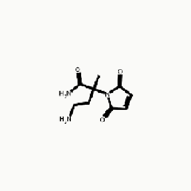 CC(CCN)(C(N)=O)N1C(=O)C=CC1=O